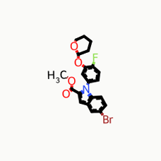 COC(=O)c1cc2cc(Br)ccc2n1-c1ccc(F)c(OC2CCCCO2)c1